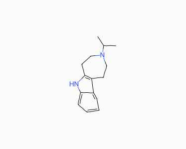 CC(C)N1CCc2[nH]c3ccccc3c2CC1